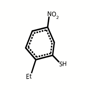 CCc1ccc([N+](=O)[O-])cc1S